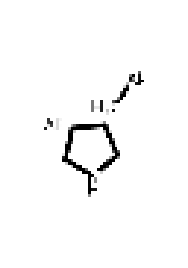 C1CCNC1.[Al].[CH3][Al]